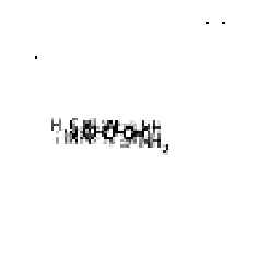 CC(=N)c1ncc(-c2ccc(-c3ccc(C(=N)N)cc3)nc2)cn1